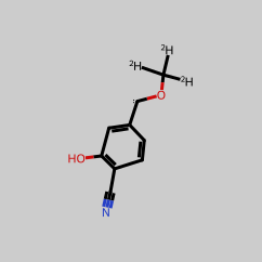 [2H]C([2H])([2H])O[C]c1ccc(C#N)c(O)c1